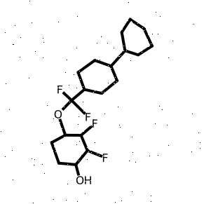 OC1CCC(OC(F)(F)C2CCC(C3CCCCC3)CC2)C(F)C1F